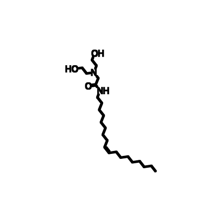 CCCCCCCC/C=C\CCCCCCCCNC(=O)CN(CCO)CCO